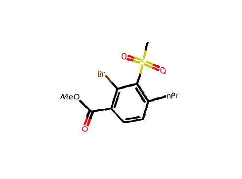 CCCc1ccc(C(=O)OC)c(Br)c1S(C)(=O)=O